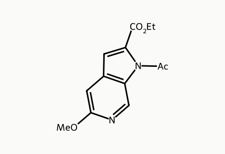 CCOC(=O)c1cc2cc(OC)ncc2n1C(C)=O